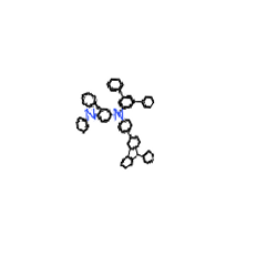 c1ccc(-c2cc(-c3ccccc3)cc(N(c3ccc(-c4ccc5c(c4)-c4ccccc4C5c4ccccc4)cc3)c3ccc4c(c3)c3ccccc3n4-c3ccccc3)c2)cc1